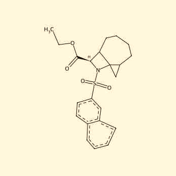 CCOC(=O)[C@H]1C2CCCCC3CC32N1S(=O)(=O)c1ccc2ccccc2c1